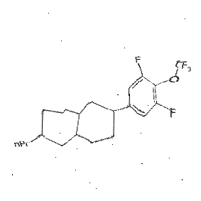 CCCC1CCC2CC(c3cc(F)c(OC(F)(F)F)c(F)c3)CCC2C1